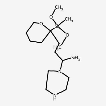 CO[Si](C)(OC)C1(CCC([SiH3])N2CCNCC2)CCCCO1